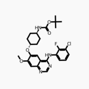 COc1cc2ncnc(Nc3cccc(Cl)c3F)c2cc1O[C@H]1CC[C@H](NC(=O)OC(C)(C)C)CC1